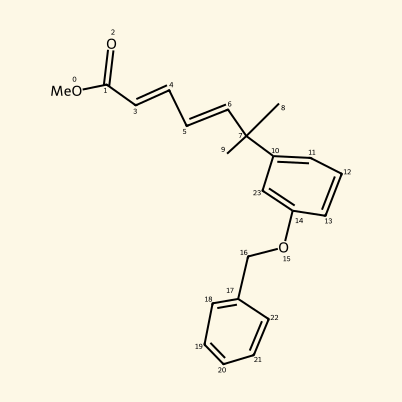 COC(=O)/C=C/C=C/C(C)(C)c1cccc(OCc2ccccc2)c1